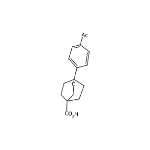 CC(=O)c1ccc(C23CCC(C(=O)O)(CC2)CC3)cc1